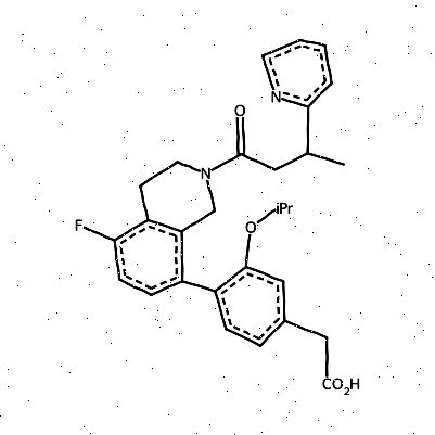 CC(C)Oc1cc(CC(=O)O)ccc1-c1ccc(F)c2c1CN(C(=O)CC(C)c1ccccn1)CC2